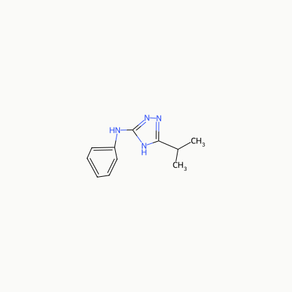 CC(C)c1nnc(Nc2ccccc2)[nH]1